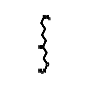 NCCCCNCCON